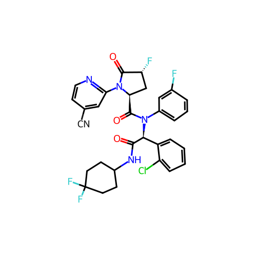 N#Cc1ccnc(N2C(=O)[C@H](F)C[C@H]2C(=O)N(c2cccc(F)c2)[C@H](C(=O)NC2CCC(F)(F)CC2)c2ccccc2Cl)c1